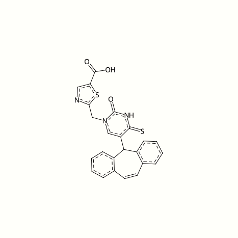 O=C(O)c1cnc(Cn2cc(C3c4ccccc4C=Cc4ccccc43)c(=S)[nH]c2=O)s1